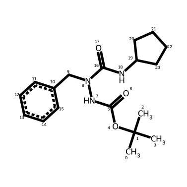 CC(C)(C)OC(=O)NN(Cc1ccccc1)C(=O)NC1CCCC1